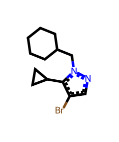 Brc1cnn(CC2CCCCC2)c1C1CC1